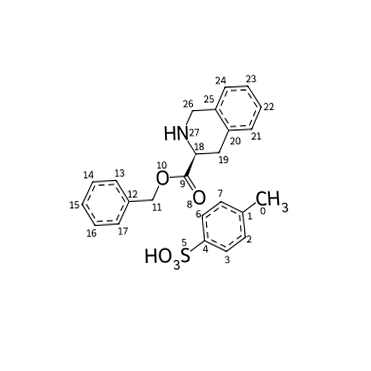 Cc1ccc(S(=O)(=O)O)cc1.O=C(OCc1ccccc1)[C@@H]1Cc2ccccc2CN1